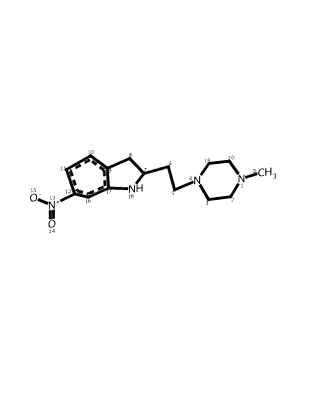 CN1CCN(CCC2Cc3ccc([N+](=O)[O-])cc3N2)CC1